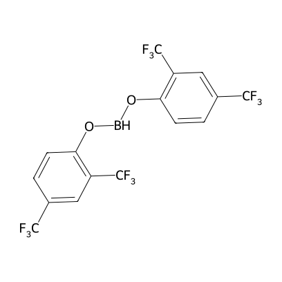 FC(F)(F)c1ccc(OBOc2ccc(C(F)(F)F)cc2C(F)(F)F)c(C(F)(F)F)c1